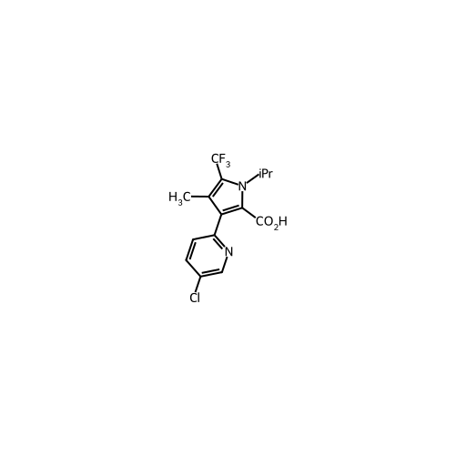 Cc1c(-c2ccc(Cl)cn2)c(C(=O)O)n(C(C)C)c1C(F)(F)F